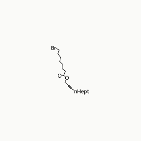 CCCCCCCC#CCOC(=O)CCCCCCCBr